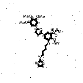 CCCOc1c(OCCCCSc2ncc[nH]2)cc([C@H]2CC[C@H](c3cc(OC)c(OC)c(OC)c3)O2)cc1S(=O)(=O)CC(C)=O